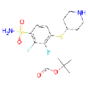 CC(C)(C)OC=O.NS(=O)(=O)c1ccc(SC2CCNCC2)c(F)c1F